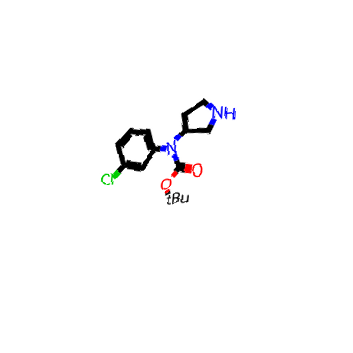 CC(C)(C)OC(=O)N(c1cccc(Cl)c1)C1CCNC1